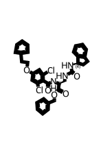 O=C(NC[C@H](NC(=O)c1c(Cl)cc(OCCc2ccccc2)cc1Cl)C(=O)OCc1ccccc1)N[C@@H]1CCc2ccccc21